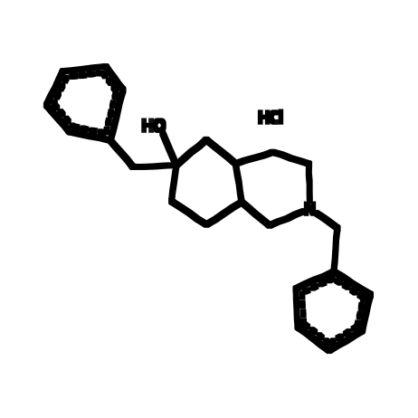 Cl.OC1(Cc2ccccc2)CCC2CN(Cc3ccccc3)CCC2C1